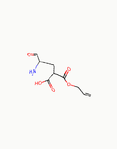 C=CCOC(=O)C(CC(N)C=O)C(=O)O